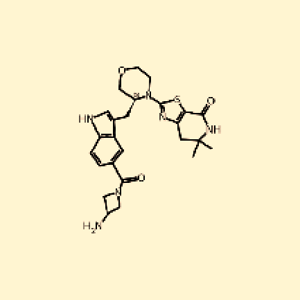 CC1(C)Cc2nc(N3CCOC[C@@H]3Cc3c[nH]c4ccc(C(=O)N5CC(N)C5)cc34)sc2C(=O)N1